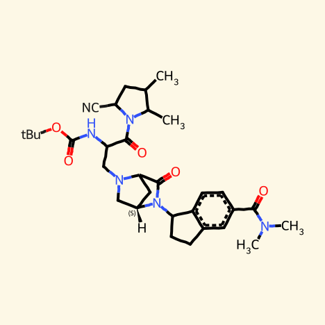 CC1CC(C#N)N(C(=O)C(CN2C[C@@H]3CC2C(=O)N3C2CCc3cc(C(=O)N(C)C)ccc32)NC(=O)OC(C)(C)C)C1C